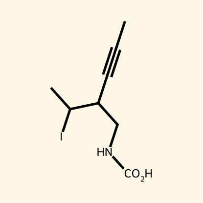 CC#CC(CNC(=O)O)C(C)I